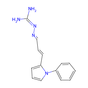 NC(N)=N/N=C/C=C/c1cccn1-c1ccccc1